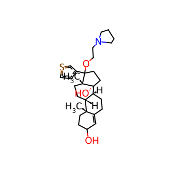 C[C@]12CCC(O)C=C1CC[C@@H]1[C@H]2CC[C@]2(C)C(OCCN3CCCC3)(c3ccsc3)CC[C@@]12O